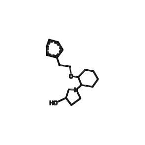 OC1CCN(C2CCCCC2OCCc2ccccc2)C1